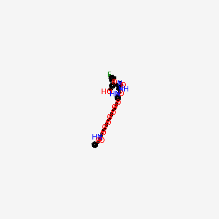 Cc1cc(F)cc(C)c1Oc1ccc(C(C)(C)O)cc1-c1cn(C)c(=O)c2[nH]c(C(=O)Nc3ccc(OCCOCCOCCOCCOCCOCCOCCNC(=O)OCc4ccccc4)cc3)cc12